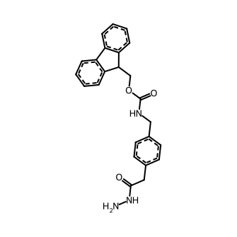 NNC(=O)Cc1ccc(CNC(=O)OCC2c3ccccc3-c3ccccc32)cc1